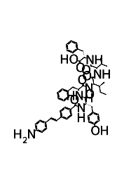 CC[C@H](C)[C@H](NC(=O)[C@H](Cc1ccccc1)NC(=O)[C@H](Cc1ccc(O)cc1)NC(=O)c1ccc(/C=C/c2ccc(N)cc2)cc1)C(=O)N[C@H](C(=O)N[C@@H](Cc1ccccc1)C(=O)O)C(C)C